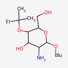 CCC(C)(C)OC1C(CO)OC(OC(C)(C)C)C(N)C1O